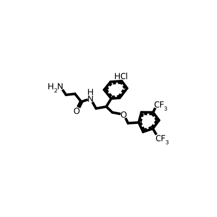 Cl.NCCC(=O)NCC(COCc1cc(C(F)(F)F)cc(C(F)(F)F)c1)c1ccccc1